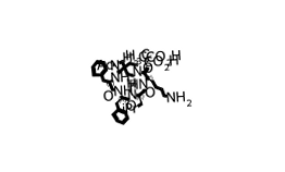 CC(=O)N1CC2(CCN(C(=O)[C@@H](CCCCN)NC(=O)[C@@H](CC(C)C)NC(=O)[C@@H](Cc3ccccc3)NC(=O)[C@H](N)Cc3ccccc3)CC2)C1.CC(=O)O.CC(=O)O